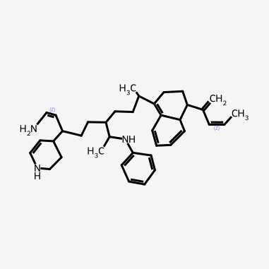 C=C(/C=C\C)C1CCC(C(C)CCC(CCC(/C=C\N)C2C=CNCC2)C(C)Nc2ccccc2)=C2C=CC=CC21